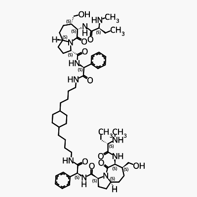 CC[C@H](NC)C(=O)N[C@@H]1C(=O)N2[C@@H](CC[C@@H]1CO)CC[C@H]2C(=O)N[C@H](C(=O)NCCCCC1CCC(CCCCNC(=O)[C@@H](NC(=O)[C@@H]2CC[C@@H]3CC[C@H](CO)[C@H](NC(=O)[C@H](CC)NC)C(=O)N32)c2ccccc2)CC1)c1ccccc1